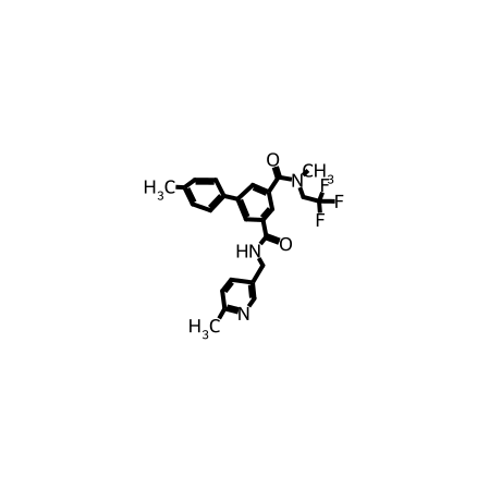 Cc1ccc(-c2cc(C(=O)NCc3ccc(C)nc3)cc(C(=O)N(C)CC(F)(F)F)c2)cc1